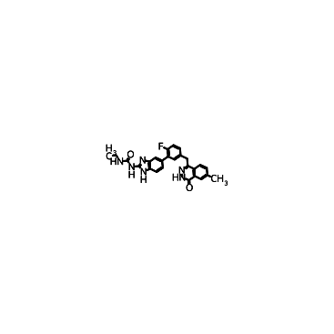 CCNC(=O)Nc1nc2cc(-c3cc(Cc4n[nH]c(=O)c5cc(C)ccc45)ccc3F)ccc2[nH]1